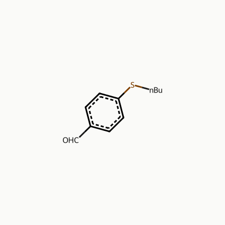 CCCCSc1ccc(C=O)cc1